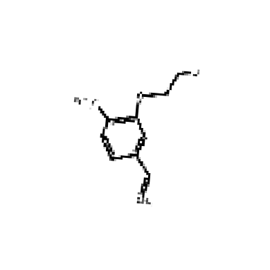 C=Cc1ccc(C(=O)OCC)c(OCCO)c1